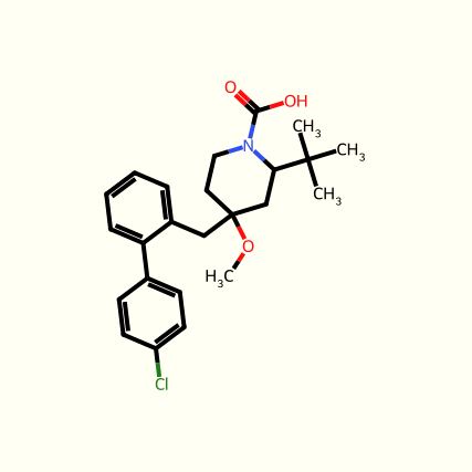 COC1(Cc2ccccc2-c2ccc(Cl)cc2)CCN(C(=O)O)C(C(C)(C)C)C1